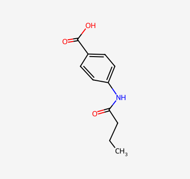 CCCC(=O)Nc1ccc(C(=O)O)cc1